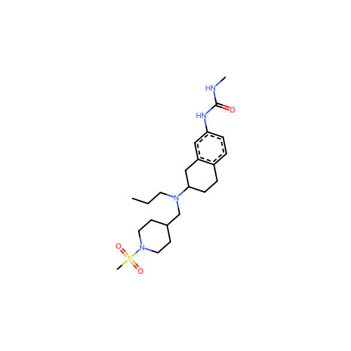 CCCN(CC1CCN(S(C)(=O)=O)CC1)C1CCc2ccc(NC(=O)NC)cc2C1